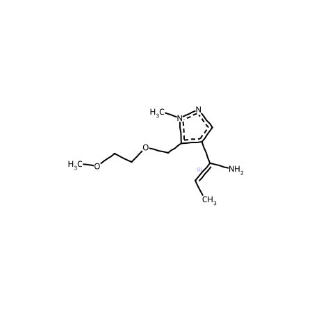 C/C=C(\N)c1cnn(C)c1COCCOC